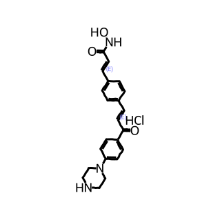 Cl.O=C(/C=C/c1ccc(/C=C/C(=O)c2ccc(N3CCNCC3)cc2)cc1)NO